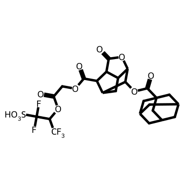 O=C(COC(=O)C1C2CC3C(OC(=O)C31)C2OC(=O)C12CC3CC(CC(C3)C1)C2)OC(C(F)(F)F)C(F)(F)S(=O)(=O)O